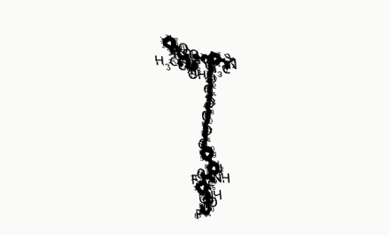 Cc1ncsc1-c1ccc(CNC(=O)[C@@H]2C[C@@H](O)CN2C(=O)[C@H](C(C)C)N2Cc3ccccc3C2=O)c(OCCOCCOCCOCCOCCOCCOc2ccc(-c3cnc4[nH]cc(C(=O)c5c(F)ccc(NS(=O)(=O)N6CC[C@@H](F)C6)c5F)c4c3)cc2)c1